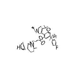 C#CCN1CCC2=C(C1)c1c(OC(=O)CCCN3CCCCC3C)cc(C(C)(CCC)c3ccc(F)cc3)cc1OC2(C)C.Cl